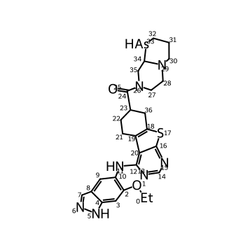 CCOc1cc2[nH]ncc2cc1Nc1ncnc2sc3c(c12)CCC(C(=O)N1CCN2CCC[AsH]C2C1)C3